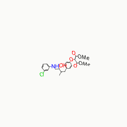 COC(=O)C(Oc1ccc(CC(C)C(O)CNc2cccc(Cl)c2)cc1)C(=O)OC